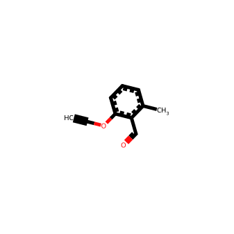 C#COc1cccc(C)c1C=O